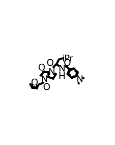 CC(C)CC(NC(=O)c1ccc(N(C)C)cc1)C(=O)N1CCC2C1C(=O)CN2C(=O)c1ccco1